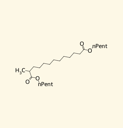 CCCCCOC(=O)CCCCCCCCCCC(C)C(=O)OCCCCC